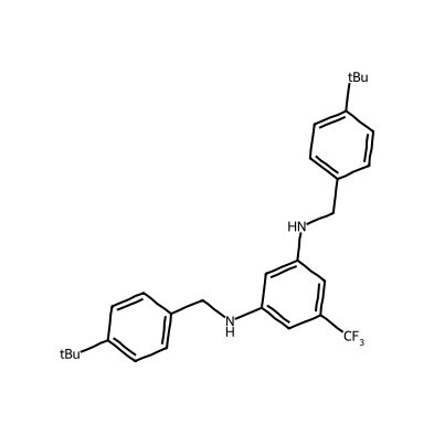 CC(C)(C)c1ccc(CNc2cc(NCc3ccc(C(C)(C)C)cc3)cc(C(F)(F)F)c2)cc1